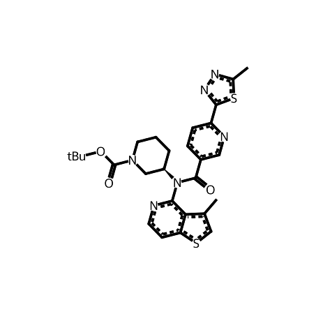 Cc1nnc(-c2ccc(C(=O)N(c3nccc4scc(C)c34)[C@@H]3CCCN(C(=O)OC(C)(C)C)C3)cn2)s1